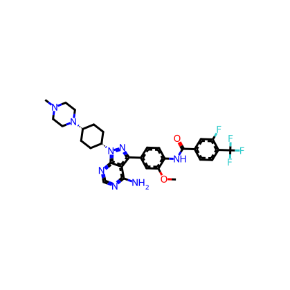 COc1cc(-c2nn([C@H]3CC[C@@H](N4CCN(C)CC4)CC3)c3ncnc(N)c23)ccc1NC(=O)c1ccc(C(F)(F)F)c(F)c1